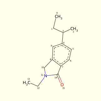 CCC(C)c1ccc2c(c1)CN(CC)C2=O